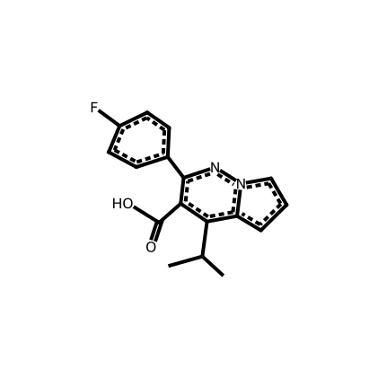 CC(C)c1c(C(=O)O)c(-c2ccc(F)cc2)nn2cccc12